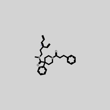 C=C/C=C(\C=C)CCN(C)C(=O)C1(c2ccccc2)CCN(C(=O)CCc2ccccc2)CC1